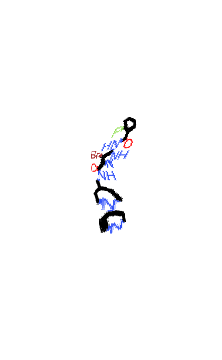 O=C(Nc1[nH]nc(C(=O)NCC2CCN(c3ccncc3)CC2)c1Br)c1ccccc1F